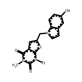 CCn1c(=O)n(C)c(=O)c2cc(Cn3ccc4cc(C#N)ccc43)sc21